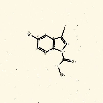 CC(C)(C)OC(=O)n1cc(I)c2cc(C#N)ccc21